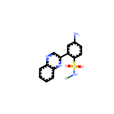 Nc1ccc(S(=O)(=O)NCl)c(-c2cnc3ccccc3n2)c1